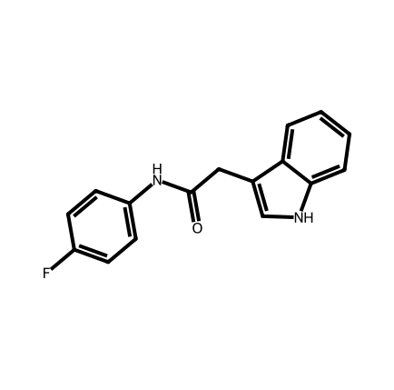 O=C(Cc1c[nH]c2ccccc12)Nc1ccc(F)cc1